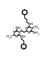 CC1N=C(N)N(CCC2N=C(N)N(C)C(NCCCc3ccccc3)=N2)C(NCCc2ccccc2)=N1